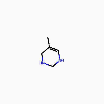 CC1=CNCNC1